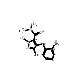 CCn1nc(C)c(Nc2ccccc2N)c1C(=O)N(C)C